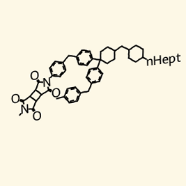 CCCCCCCC1CCC(CC2CCC(c3ccc(Cc4ccc(C)cc4)cc3)(c3ccc(Cc4ccc(N5C(=O)C6C7C(=O)N(C)C(=O)C7C6C5=O)cc4)cc3)CC2)CC1